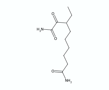 CCC(CCCCCC(N)=O)C(=O)C(N)=O